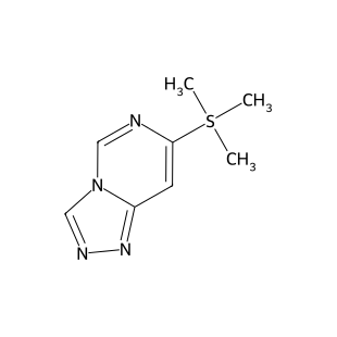 CS(C)(C)c1cc2nncn2cn1